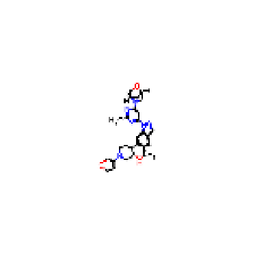 Cc1nc(N2C[C@@H]3C[C@H]2CO3)cc(-n2ncc3cc(C)c(C4CCN(C5CCOC5)CC4O)cc32)n1